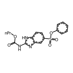 CCCOC(=O)Nc1nc2cc(S(=O)(=O)Oc3ccccc3)ccc2[nH]1